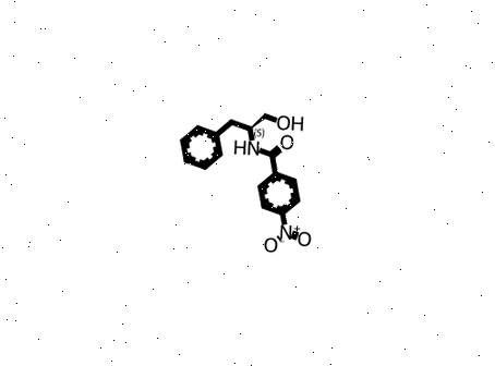 O=C(N[C@H](CO)Cc1ccccc1)c1ccc([N+](=O)[O-])cc1